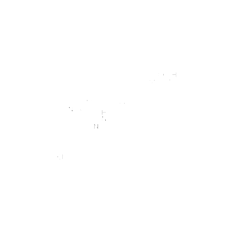 Cc1ccc2c(c1)C(=NNc1cccc(-c3cccc(OC(=O)O)c3)c1O)C(=O)N2Cc1ccccc1